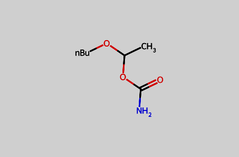 CCCCOC(C)OC(N)=O